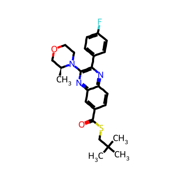 C[C@H]1COCCN1c1nc2cc(C(=O)SCC(C)(C)C)ccc2nc1-c1ccc(F)cc1